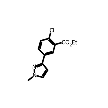 CCOC(=O)c1cc(-c2ccn(C)n2)ccc1Cl